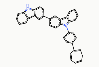 C1=CCC=C(c2ccc(-n3c4ccccc4c4cc(-c5ccc6[nH]c7ccccc7c6c5)ccc43)cc2)C=C1